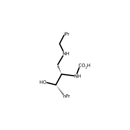 CCC[C@H](O)[C@H](CNCC(C)C)NC(=O)O